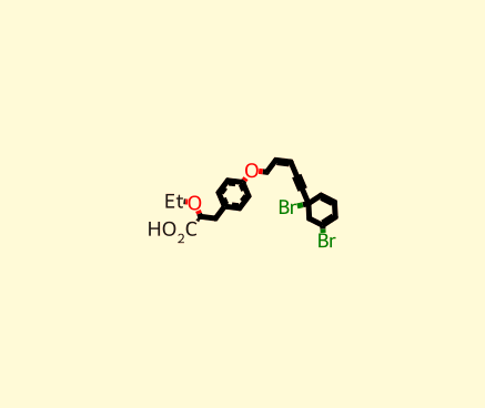 CCO[C@@H](Cc1ccc(OC/C=C\C#CC2(Br)C=CC=C(Br)C2)cc1)C(=O)O